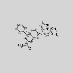 CC(C)(C)n1nccc1CN1CCc2c(-c3ccncc3)cc(C(N)=O)nc2C1